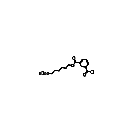 CCCCCCCCCCCCCCCCOC(=O)c1cccc(C(=O)Cl)c1